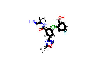 CC(C=N)NC(=O)c1cccc(-c2noc(C(F)(F)F)n2)c1.OCc1ccc(F)cc1Cl